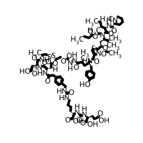 CCCC(=O)OCN(C(=O)[C@@H](NC(=O)[C@H]1CCCCN1C)C(C)CC)[C@H](C[C@@H](OC(C)=O)c1nc(C(=O)N[C@@H](Cc2ccc(O)cc2)C[C@H](C)C(=O)NNC(=O)OCCSSC[C@@H](C)NC(=O)[C@H](CC(=O)O)NC(=O)[C@H](CC(=O)O)NC(=O)Cc2ccc(CNC(=O)NCCCC[C@H](NC(=O)N[C@@H](CCC(=O)O)C(=O)O)C(=O)O)cc2)cs1)C(C)C